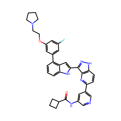 O=C(Nc1cncc(-c2ccc3[nH]nc(-c4cc5c(-c6cc(F)cc(OCCN7CCCC7)c6)cccc5[nH]4)c3n2)c1)C1CCC1